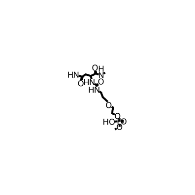 CNC(=O)CC(NC(=O)NCCCOCCOP(=O)(O)OC)C(=O)NC